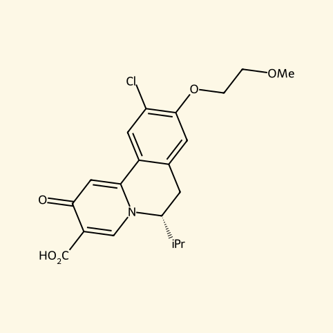 COCCOc1cc2c(cc1Cl)-c1cc(=O)c(C(=O)O)cn1[C@@H](C(C)C)C2